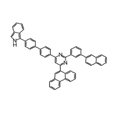 c1cc(-c2ccc3ccccc3c2)cc(-c2nc(-c3ccc(-c4ccc(-c5[nH]cc6ccccc56)cc4)cc3)cc(-c3cc4ccccc4c4ccccc34)n2)c1